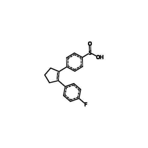 O=S(O)c1ccc(C2=C(c3ccc(F)cc3)CCC2)cc1